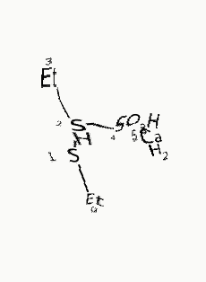 CCS[SH](CC)S(=O)(=O)O.[CaH2]